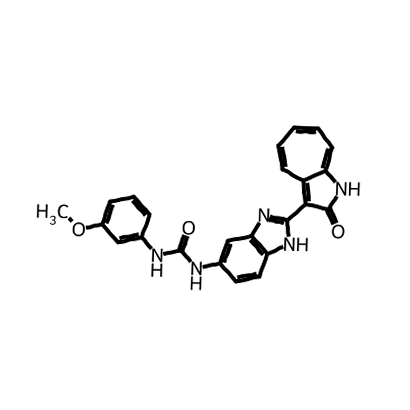 COc1cccc(NC(=O)Nc2ccc3[nH]c(-c4c5cccccc-5[nH]c4=O)nc3c2)c1